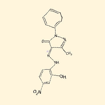 CC1=NN(c2ccccc2)C(=O)/C1=N/Nc1ccc([N+](=O)[O-])cc1O